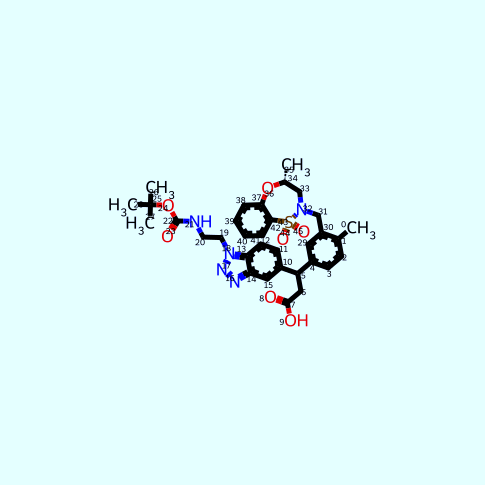 Cc1ccc(C(CC(=O)O)c2ccc3c(c2)nnn3CCNC(=O)OC(C)(C)C)cc1CN1C[C@@H](C)Oc2ccccc2S1(=O)=O